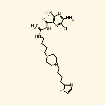 C=C(NCCCCN1CCN(CCCCc2ncc[nH]2)CC1)NC(=O)c1nc(Cl)c(N)nc1N